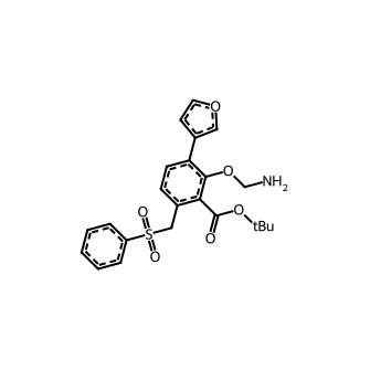 CC(C)(C)OC(=O)c1c(CS(=O)(=O)c2ccccc2)ccc(-c2ccoc2)c1OCN